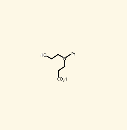 CC(C)N(CCO)CCC(=O)O